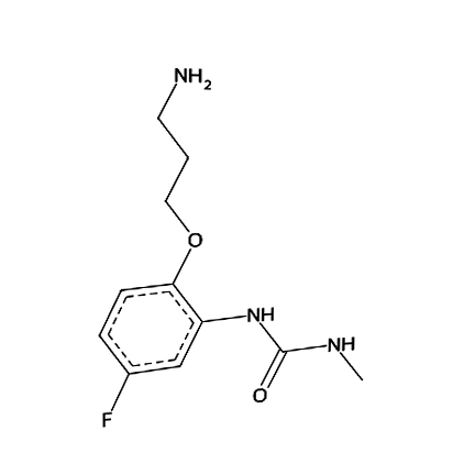 CNC(=O)Nc1cc(F)ccc1OCCCN